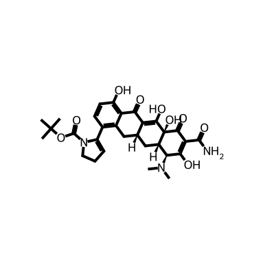 CN(C)[C@@H]1C(O)=C(C(N)=O)C(=O)[C@@]2(O)C(O)=C3C(=O)c4c(O)ccc(C5=CCCN5C(=O)OC(C)(C)C)c4C[C@H]3C[C@@H]12